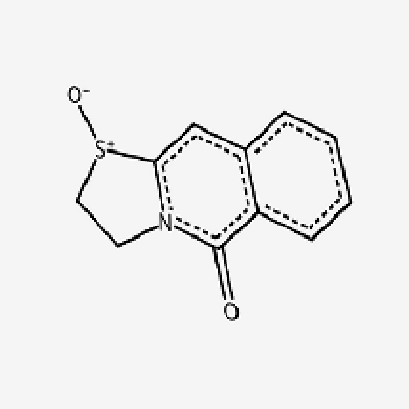 O=c1c2ccccc2cc2n1CC[S+]2[O-]